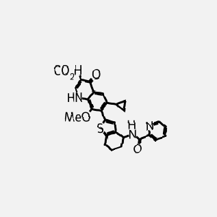 COc1c(-c2cc3c(s2)CCCC3NC(=O)c2ccccn2)c(C2CC2)cc2c(=O)c(C(=O)O)c[nH]c12